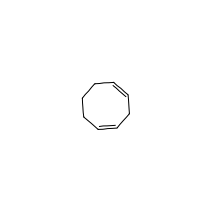 C1=C\CCC/C=C\C/1